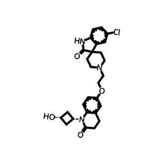 O=C1CCc2cc(OCCN3CCC4(CC3)C(=O)Nc3ccc(Cl)cc34)ccc2N1[C@H]1C[C@@H](O)C1